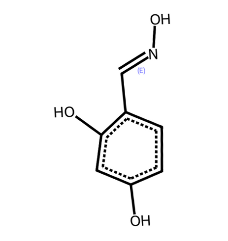 O/N=C/c1ccc(O)cc1O